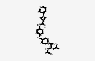 CC(=O)N[C@@H](CC(C)C)C(=O)N1CCC(Oc2ccc(NC(=O)C3CN(c4cccnc4)C3)cc2)CC1